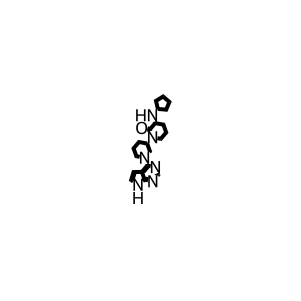 O=C1C(NC2CCCC2)CCCN1C1CCCN(c2ncnc3[nH]ccc23)C1